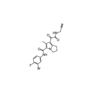 C#CCNC(=O)C(=O)c1c(C)c(C(=O)Nc2ccc(F)c(Br)c2)n2c1CCC2